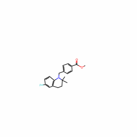 COC(=O)c1ccc(CN2c3ccc(F)cc3CCC2(C)C)cc1